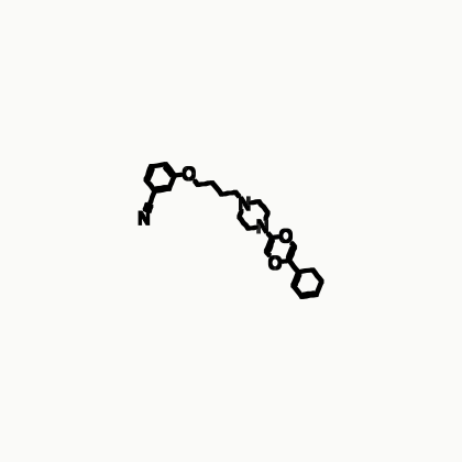 N#Cc1cccc(OCCCCN2CCN(C3=COC(C4=CC=CCC4)=CO3)CC2)c1